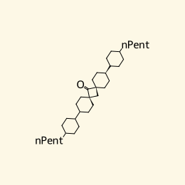 CCCCCC1CCC(C2CC[C@]3(CC2)C[C@@]2(CC[C@H](C4CCC(CCCCC)CC4)CC2)C3=O)CC1